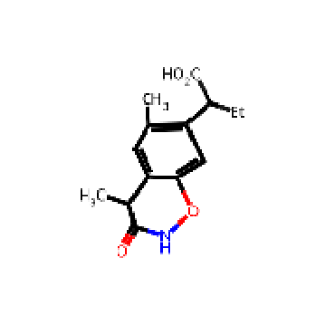 CCC(C(=O)O)c1cc2c(cc1C)C(C)C(=O)NO2